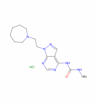 CCCCNC(=O)Nc1ncnc2c1cnn2CCN1CCCCCC1.Cl